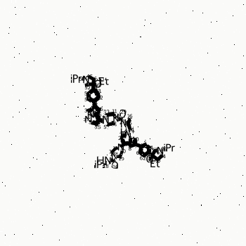 CCOC1(c2ccc(-c3cc4c(N5CCN(C(=O)NC(C)C)CC5)cc[n+](CC(C)NC(=O)N5CCN(c6ccnn7cc(-c8ccc([C@]9(OCC)CCN(C(C)C)C9)cc8)cc67)CC5)n4c3)cc2)CCN(C(C)C)C1